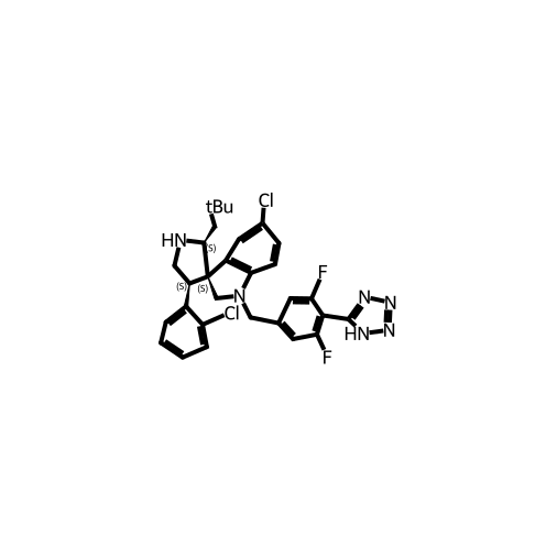 CC(C)(C)C[C@@H]1NC[C@H](c2ccccc2Cl)[C@]12CN(Cc1cc(F)c(-c3nnn[nH]3)c(F)c1)c1ccc(Cl)cc12